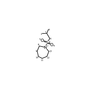 CC(C)CS(=O)(=O)N1CCCCCC1